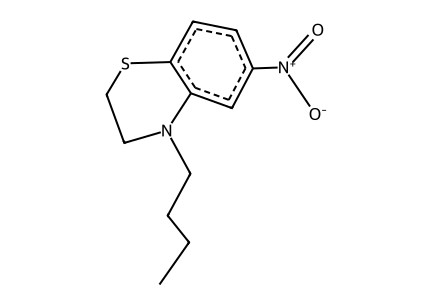 CCCCN1CCSc2ccc([N+](=O)[O-])cc21